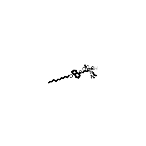 CCCCCCCCCCCCOc1cccc2c(OCC(COP(O)OCC(C)[N+](C)(C)C)OC(C)=O)cccc12